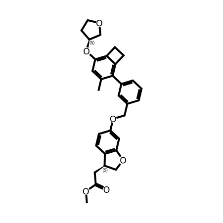 COC(=O)C[C@@H]1COc2cc(OCc3cccc(-c4c(C)cc(O[C@H]5CCOC5)c5c4CC5)c3)ccc21